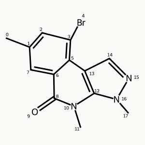 Cc1cc(Br)c2c(c1)c(=O)n(C)c1c2cnn1C